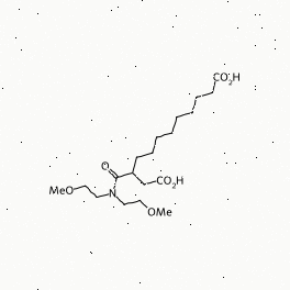 COCCN(CCOC)C(=O)C(CCCCCCCCC(=O)O)CC(=O)O